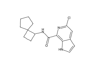 O=C(NC1CCC12CCCC2)c1nc(Cl)cc2cc[nH]c12